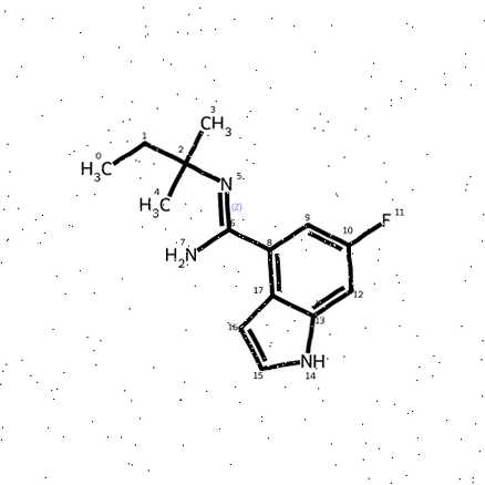 CCC(C)(C)/N=C(\N)c1cc(F)cc2[nH]ccc12